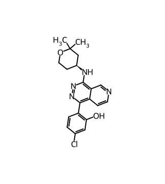 CC1(C)C[C@@H](Nc2nnc(-c3ccc(Cl)cc3O)c3ccncc23)CCO1